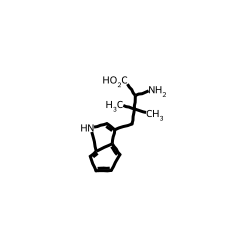 CC(C)(Cc1c[nH]c2ccccc12)C(N)C(=O)O